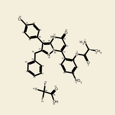 C[C@H](N)C(=O)Oc1cc([N+](=O)[O-])ccc1-c1cc(=O)[nH]c2c(-c3ccc(Cl)cc3)c(Cc3ccccc3)nn12.O=C(O)C(F)(F)F